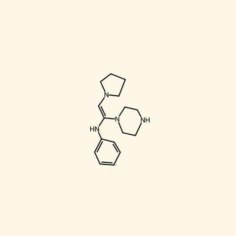 [c]1ccc(N/C(=C/N2CCCC2)N2CCNCC2)cc1